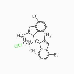 CCc1cccc2c1C=C(C)[CH]2[Ti+2]([CH]1C(C)=Cc2c(CC)cccc21)[SiH](C)C.[Cl-].[Cl-]